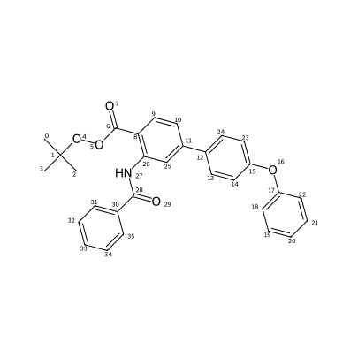 CC(C)(C)OOC(=O)c1ccc(-c2ccc(Oc3ccccc3)cc2)cc1NC(=O)c1ccccc1